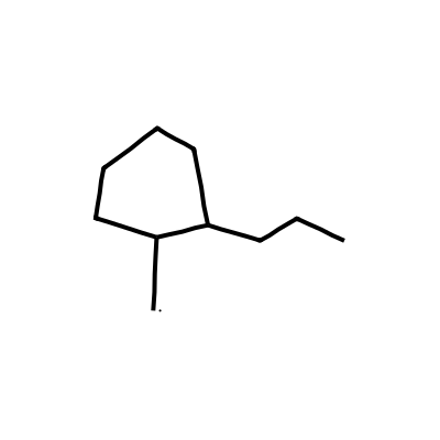 [CH2]C1CCCCC1CCC